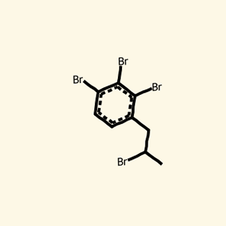 CC(Br)Cc1ccc(Br)c(Br)c1Br